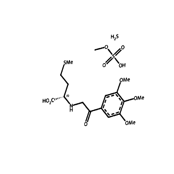 COS(=O)(=O)O.COc1cc(C(=O)CN[C@@H](CCSC)C(=O)O)cc(OC)c1OC.S